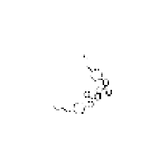 CCCCC1CCC(OC(=O)OOC(=O)OC2CCC(CCCC)CC2)CC1